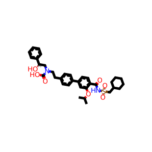 CC(C)Oc1cc(-c2ccc(CCN(C[C@H](O)c3ccccc3)C(=O)O)cc2)ccc1C(=O)NS(=O)(=O)CC1CCCCC1